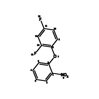 O=[N+]([O-])c1ccccc1Oc1ccc(F)cc1F